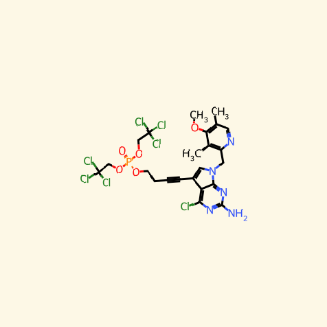 COc1c(C)cnc(Cn2cc(C#CCCOP(=O)(OCC(Cl)(Cl)Cl)OCC(Cl)(Cl)Cl)c3c(Cl)nc(N)nc32)c1C